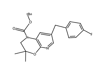 CC(C)(C)OC(=O)N1CC(C)(C)Oc2ncc(Cc3ccc(F)cc3)cc21